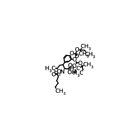 CCCCCC(=O)OC(C)CC(c1ccc(OC(=O)OC(C)(C)CC)c(OC(=O)OC(C)(C)CC)c1)[C@H](N)C(=O)O